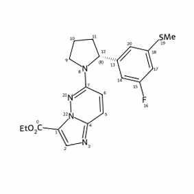 CCOC(=O)c1cnc2ccc(N3CCC[C@@H]3c3cc(F)cc(SC)c3)nn12